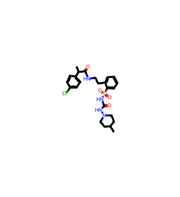 CC1CCN(NC(=O)NS(=O)(=O)c2ccccc2CCNC(=O)C(C)c2ccc(Cl)cc2)CC1